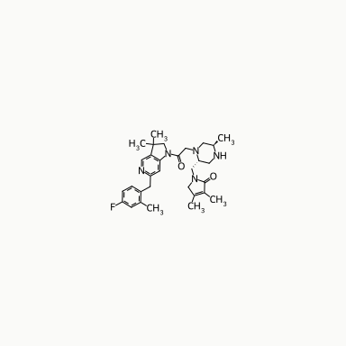 CC1=C(C)C(=O)N(C[C@H]2CN[C@H](C)CN2CC(=O)N2CC(C)(C)c3cnc(Cc4ccc(F)cc4C)cc32)C1